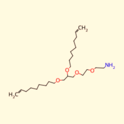 C=CCCCCCCCOCC(COCCOCCN)OCCCCCCCC=C